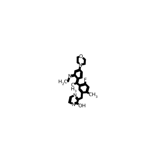 C=C/N=C1/C=C(N2CCOCC2)C=C/C1=C(/C)c1cc(Cc2nccnc2O)c(C)cc1F